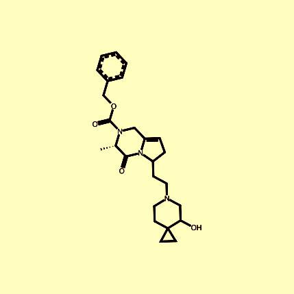 C[C@H]1C(=O)N2C(=CCC2CCN2CCC3(CC3)C(O)C2)CN1C(=O)OCc1ccccc1